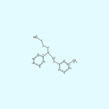 OCCCC(OCc1cccc(C(F)(F)F)c1)c1ccccc1